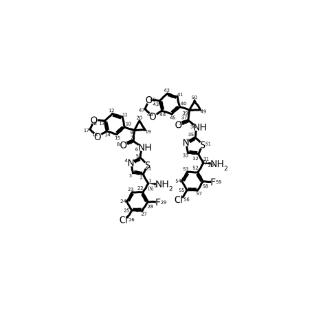 N[C@H](c1cnc(NC(=O)C2(c3ccc4c(c3)OCO4)CC2)s1)c1ccc(Cl)cc1F.N[C@H](c1cnc(NC(=O)C2(c3ccc4c(c3)OCO4)CC2)s1)c1ccc(Cl)cc1F